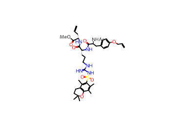 C=CCOc1ccc(C[C@H](NC(C)=O)C(=O)N[C@H](CCCNC(=N)NS(=O)(=O)c2c(C)c(C)c3c(c2C)CCC(C)(C)O3)C(=O)N[C@@H](CC=C)C(=O)OC)cc1